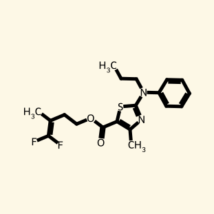 CCCN(c1ccccc1)c1nc(C)c(C(=O)OCCC(C)=C(F)F)s1